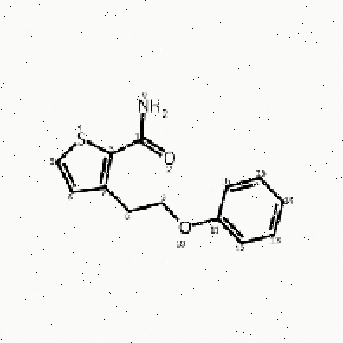 NC(=O)c1sccc1CCOc1ccccc1